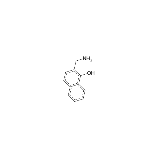 NCc1ccc2ccccc2c1O